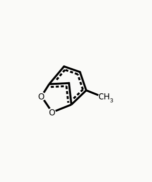 Cc1ccc2cc1OO2